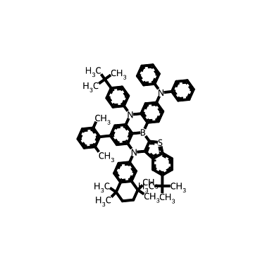 Cc1cccc(C)c1-c1cc2c3c(c1)N(c1ccc4c(c1)C(C)(C)CCC4(C)C)c1c(sc4ccc(C(C)(C)C)cc14)B3c1ccc(N(c3ccccc3)c3ccccc3)cc1N2c1ccc(C(C)(C)C)cc1